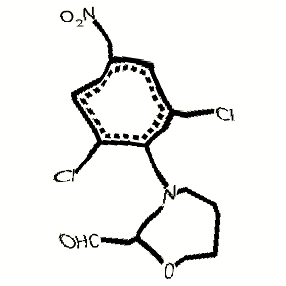 O=CC1OCCN1c1c(Cl)cc([N+](=O)[O-])cc1Cl